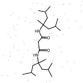 CC(C)CC(C)(CC(C)C)NC(=O)CC(=O)NC(C)(CC(C)C)CC(C)C